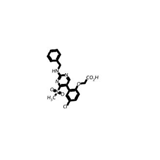 CS(=O)(=O)c1nc(NCc2ccccc2)ncc1-c1cc(Cl)ccc1OCC(=O)O